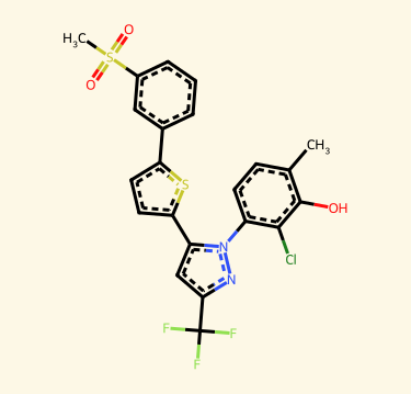 Cc1ccc(-n2nc(C(F)(F)F)cc2-c2ccc(-c3cccc(S(C)(=O)=O)c3)s2)c(Cl)c1O